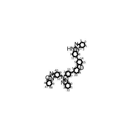 c1ccc2c(c1)nc1[nH]c3ccc(-c4ccc5oc6ccc(-c7ccc8c(c7)n7c9ccccc9nc7n8-c7ccc8nc9oc%10ccccc%10n9c8c7)cc6c5c4)cc3n12